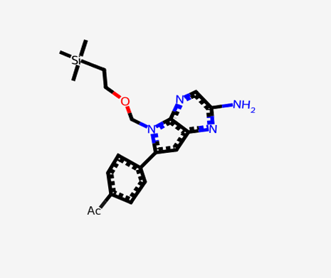 CC(=O)c1ccc(-c2cc3nc(N)cnc3n2COCC[Si](C)(C)C)cc1